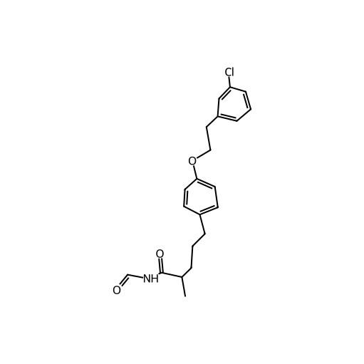 CC(CCCc1ccc(OCCc2cccc(Cl)c2)cc1)C(=O)NC=O